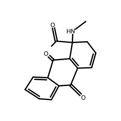 CNC1(C(C)=O)CC=CC2=C1C(=O)c1ccccc1C2=O